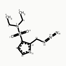 CCN(CC)S(=O)(=O)c1ccsc1CN=[N+]=[N-]